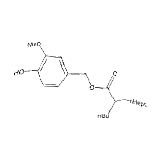 CCCCCCCC(CCCC)C(=O)OCc1ccc(O)c(OC)c1